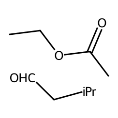 CC(C)CC=O.CCOC(C)=O